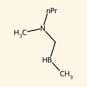 CBCN(C)CCC